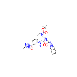 CCNNC(=O)c1ccc(C)c(NCC(=O)N(CCN(C(=O)OC(C)(C)C)C(C)C)CC(=O)N(C)N2Cc3ccccc3C2)c1